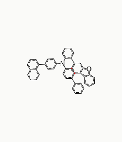 c1ccc(-c2ccc(N(c3ccc(-c4cccc5ccccc45)cc3)c3ccccc3-c3ccc4c(c3)oc3ccccc34)cc2)cc1